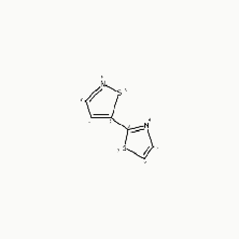 c1cc(-c2nccs2)sn1